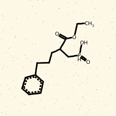 CCOC(=O)C(CCCc1ccccc1)C[PH](=O)O